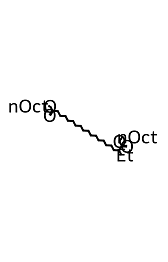 CCCCCCCCOC(=O)CCCCCCCCCCCCCCCCC(CC)C(=O)OCCCCCCCC